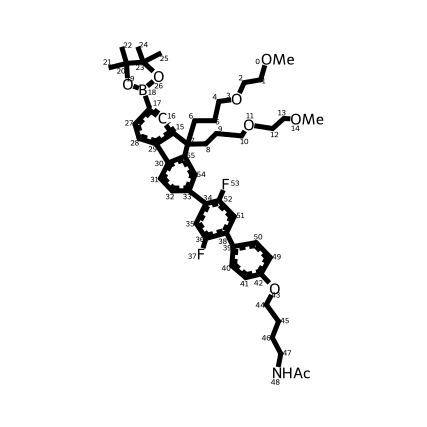 COCCOCCCC1(CCCOCCOC)c2cc(B3OC(C)(C)C(C)(C)O3)ccc2-c2ccc(-c3cc(F)c(-c4ccc(OCCCCNC(C)=O)cc4)cc3F)cc21